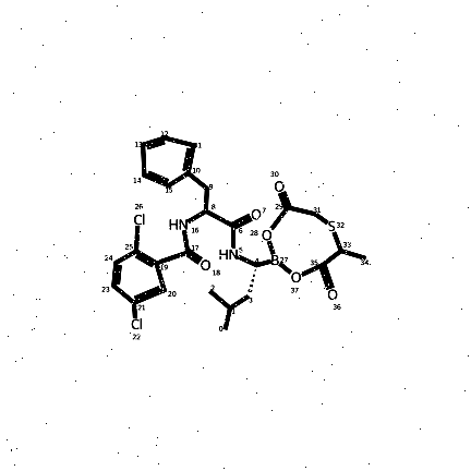 CC(C)C[C@H](NC(=O)C(Cc1ccccc1)NC(=O)c1cc(Cl)ccc1Cl)B1OC(=O)CSC(C)C(=O)O1